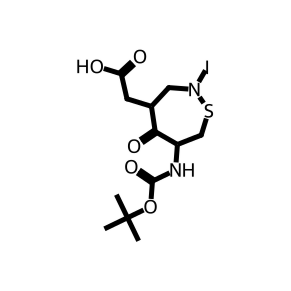 CC(C)(C)OC(=O)NC1CSN(I)CC(CC(=O)O)C1=O